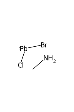 CN.[Cl][Pb][Br]